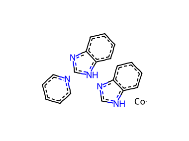 [Co].c1ccc2[nH]cnc2c1.c1ccc2[nH]cnc2c1.c1ccncc1